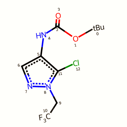 CC(C)(C)OC(=O)Nc1cnn(CC(F)(F)F)c1Cl